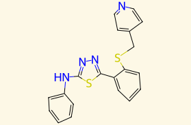 c1ccc(Nc2nnc(-c3ccccc3SCc3ccncc3)s2)cc1